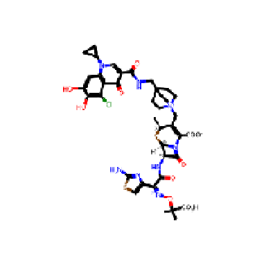 C[C@@H]1S[C@@H]2[C@H](NC(=O)/C(=N\OC(C)(C)C(=O)O)c3csc(N)n3)C(=O)N2C(C(=O)[O-])=C1C[N+]12CCC(CNC(=O)c3cn(C4CC4)c4cc(O)c(O)c(Cl)c4c3=O)(CC1)CC2